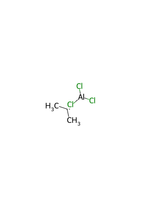 C[CH]C.[Cl][Al]([Cl])[Cl]